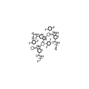 CC(C)(C#N)NC(=O)c1cnc2[nH]nc(N3CC(n4nc(N5CC(n6nc(N7CCC[C@@H]7c7cc(F)ccc7F)c7cc(C(=O)NC(C)(C)CF)cnc76)C[C@@H]5c5cc(F)ccc5F)c5cc(C(=O)NC6(C#N)CC6)cnc54)C[C@@H]3c3cc(F)ccc3F)c2c1